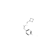 CC(Cc1ccc(C(C)(C)C)cc1)NCC1CCC1